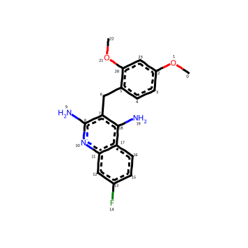 COc1ccc(Cc2c(N)nc3cc(F)ccc3c2N)c(OC)c1